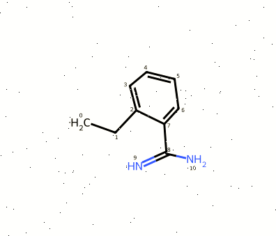 [CH2]Cc1ccccc1C(=N)N